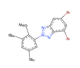 COc1c(-n2nc3cc(Br)cc(Br)c3n2)cc(C(C)(C)C)cc1C(C)(C)C